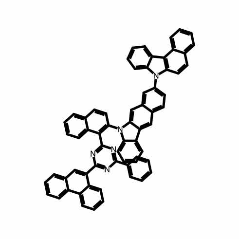 c1ccc(-c2nc(-c3c(-n4c5ccccc5c5cc6ccc(-n7c8ccccc8c8c9ccccc9ccc87)cc6cc54)ccc4ccccc34)nc(-c3cc4ccccc4c4ccccc34)n2)cc1